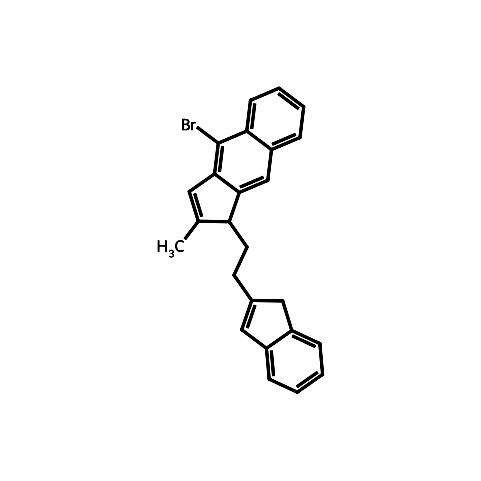 CC1=Cc2c(cc3ccccc3c2Br)C1CCC1=Cc2ccccc2C1